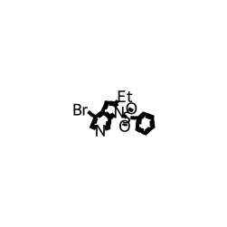 CCc1cc2c(Br)cncc2n1S(=O)(=O)c1ccccc1